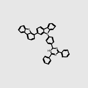 c1ccc(C2=NC(c3ccc(-n4c5ccccc5c5ccc(-c6cccc7c6sc6ccccc67)cc54)cc3)NC(c3ccccc3)=N2)cc1